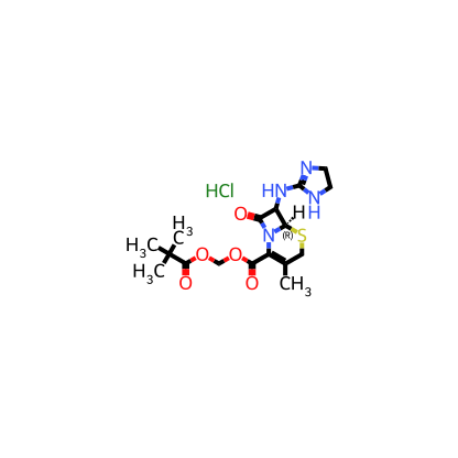 CC1=C(C(=O)OCOC(=O)C(C)(C)C)N2C(=O)C(NC3=NCCN3)[C@H]2SC1.Cl